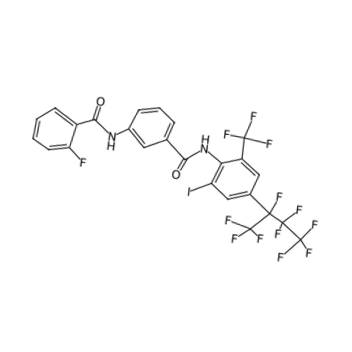 O=C(Nc1c(I)cc(C(F)(C(F)(F)F)C(F)(F)C(F)(F)F)cc1C(F)(F)F)c1cccc(NC(=O)c2ccccc2F)c1